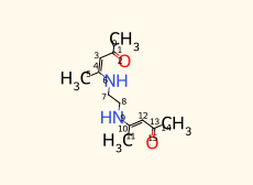 CC(=O)C=C(C)NCCNC(C)=CC(C)=O